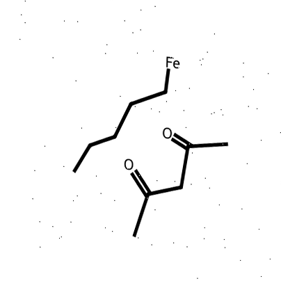 CC(=O)CC(C)=O.CCCC[CH2][Fe]